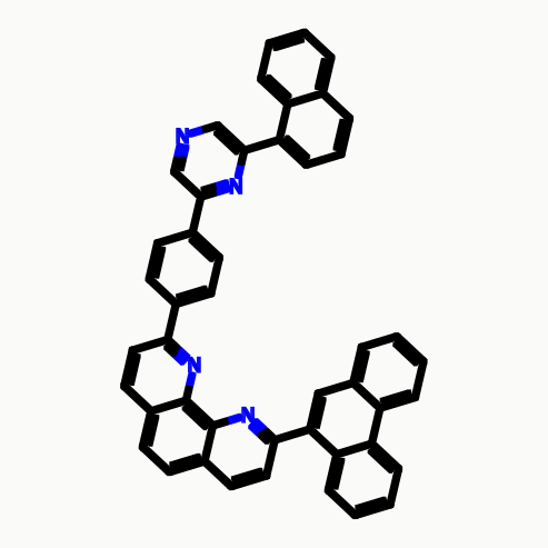 c1ccc2c(-c3cncc(-c4ccc(-c5ccc6ccc7ccc(-c8cc9ccccc9c9ccccc89)nc7c6n5)cc4)n3)cccc2c1